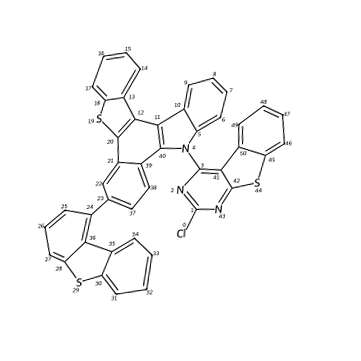 Clc1nc(-n2c3ccccc3c3c4c5ccccc5sc4c4cc(-c5cccc6sc7ccccc7c56)ccc4c32)c2c(n1)sc1ccccc12